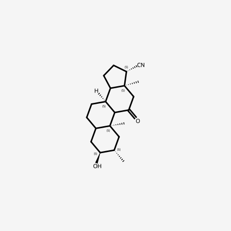 C[C@H]1C[C@@]2(C)C(CC[C@@H]3C2C(=O)C[C@@]2(C)C3CC[C@@H]2C#N)C[C@@H]1O